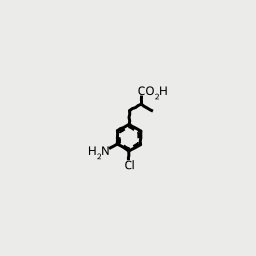 CC(Cc1ccc(Cl)c(N)c1)C(=O)O